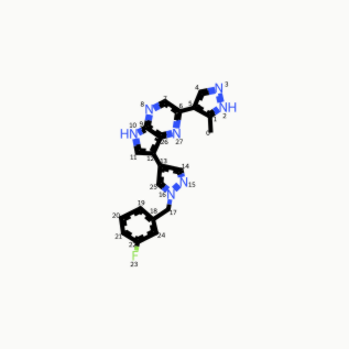 Cc1[nH]ncc1-c1cnc2[nH]cc(-c3cnn(Cc4cccc(F)c4)c3)c2n1